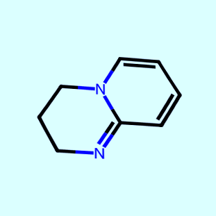 C1=CC2=NCCCN2C=C1